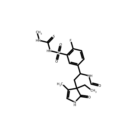 CCC1(CC(NC=O)c2ccc(F)c(S(=O)(=O)NC(=S)NC)c2)C(=O)NC=C1C